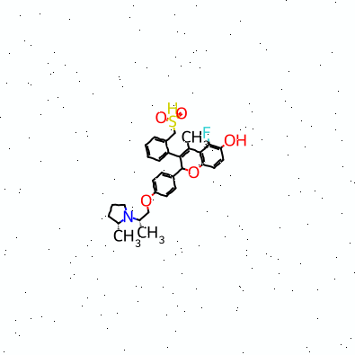 CC1=C(c2ccccc2C[SH](=O)=O)C(c2ccc(OC[C@H](C)N3CCC[C@H]3C)cc2)Oc2ccc(O)c(F)c21